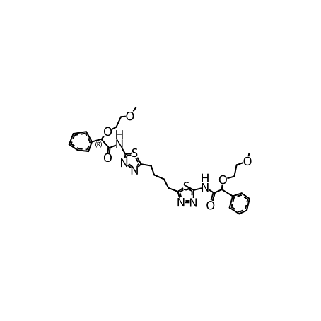 COCCOC(C(=O)Nc1nnc(CCCCc2nnc(NC(=O)[C@H](OCCOC)c3ccccc3)s2)s1)c1ccccc1